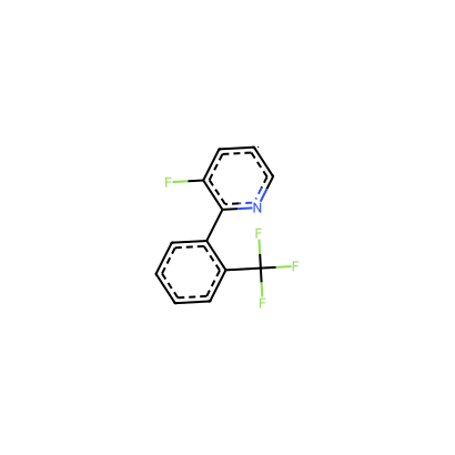 Fc1c[c]cnc1-c1ccccc1C(F)(F)F